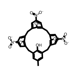 Cc1cc2c(O)c(c1)Cc1cc([N+](=O)[O-])cc(c1O)Cc1cc([N+](=O)[O-])cc(c1O)Cc1cc([N+](=O)[O-])cc(c1O)C2